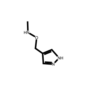 CNOCc1cn[nH]c1